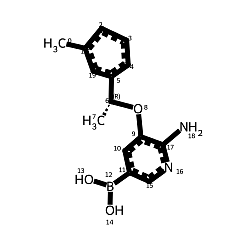 Cc1cccc([C@@H](C)Oc2cc(B(O)O)cnc2N)c1